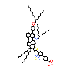 CCCCCCCCC(CCCCCC)COc1ccc(-c2cc3c4c5c2cccc5c2ccc5c6c(cc(c4c62)n3CC(CCCCCC)CCCCCC)-c2sc(-c3ccc(-c4ccc(C(=O)O)cc4)c4nsnc34)cc2C5(CCCCCCCC)CCCCCCCC)cc1